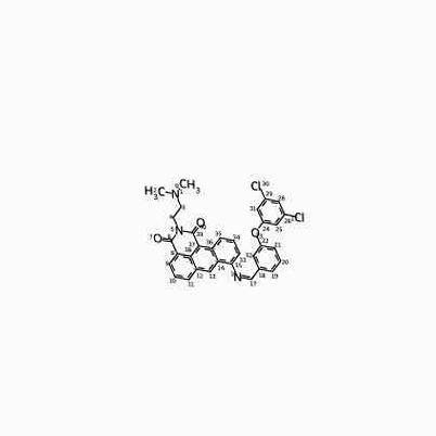 CN(C)CCN1C(=O)c2cccc3cc4c(/N=C\c5cccc(Oc6cc(Cl)cc(Cl)c6)c5)cccc4c(c23)C1=O